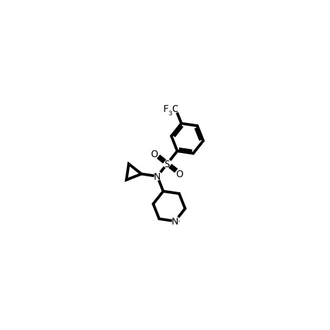 O=S(=O)(c1cccc(C(F)(F)F)c1)N(C1CC[N]CC1)C1CC1